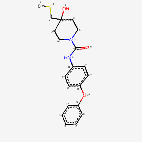 CCSCC1(O)CCN(C(=O)Nc2ccc(Oc3ccccc3)cc2)CC1